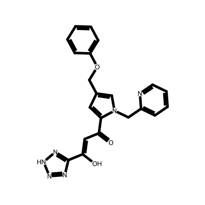 O=C(C=C(O)c1nn[nH]n1)c1cc(COc2ccccc2)cn1Cc1ccccn1